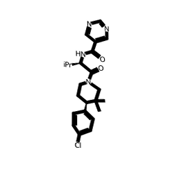 CC(C)[C@@H](NC(=O)c1cncnc1)C(=O)N1CC[C@H](c2ccc(Cl)cc2)C(C)(C)C1